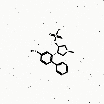 CC(C)S(=O)(=O)N[C@H]1CN(C)C[C@@H]1c1cc(C(=O)O)ccc1-c1ccccc1